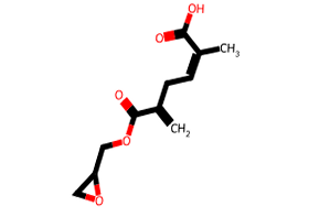 C=C(CC=C(C)C(=O)O)C(=O)OCC1CO1